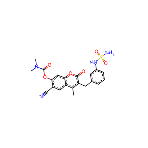 Cc1c(Cc2cccc(NS(N)(=O)=O)c2)c(=O)oc2cc(OC(=O)N(C)C)c(C#N)cc12